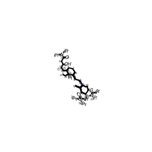 C=C1/C(=C\C=C2CCC[C@]3(C)[C@@H]([C@H](C)C(O)CC(=O)N(C(C)C)C(C)C)CC[C@@H]23)C[C@H](O[Si](C(C)C)(C(C)C)C(C)C)C[C@H]1O[Si](C(C)C)(C(C)C)C(C)C